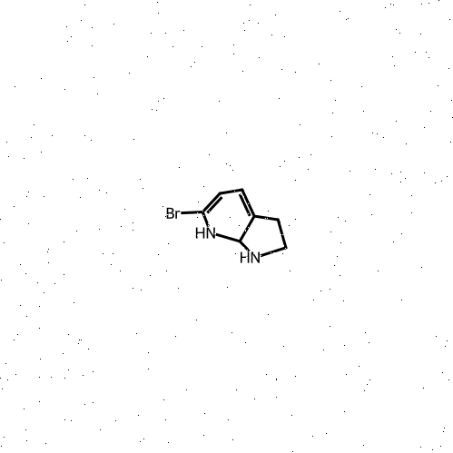 BrC1=CC=C2CCNC2N1